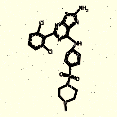 CN1CCN(S(=O)(=O)c2ccc(Nc3nc(-c4c(Cl)cccc4Cl)nc4sc(N)nc34)cc2)CC1